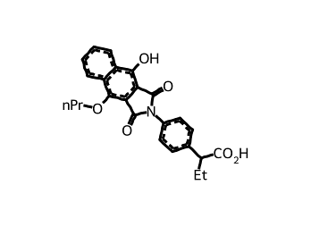 CCCOc1c2c(c(O)c3ccccc13)C(=O)N(c1ccc(C(CC)C(=O)O)cc1)C2=O